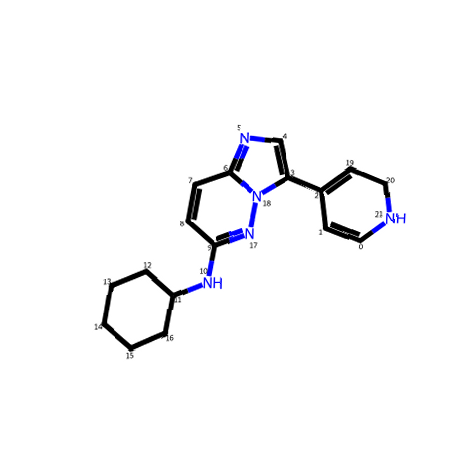 C1=CC(c2cnc3ccc(NC4CCCCC4)nn23)=CCN1